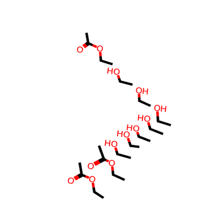 CCO.CCO.CCO.CCO.CCO.CCO.CCO.CCOC(C)=O.CCOC(C)=O.CCOC(C)=O